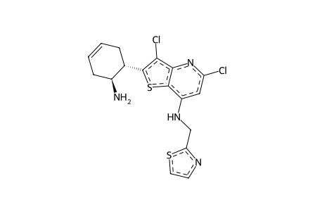 N[C@H]1CC=CC[C@@H]1c1sc2c(NCc3nccs3)cc(Cl)nc2c1Cl